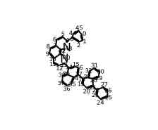 c1ccc(-c2ccc3ccc4ccc(-c5ccc(-c6ccc(-c7ccccc7)c7ccccc67)c6ccccc56)nc4c3n2)cc1